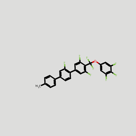 Cc1ccc(-c2ccc(-c3cc(F)c(C(F)(F)Oc4cc(F)c(F)c(F)c4)c(F)c3)c(F)c2)cc1